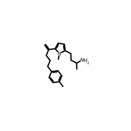 C=C(CCCc1ccc(C)cc1)c1ccc(CCC(C)N)n1C